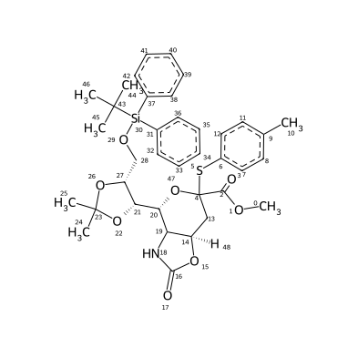 COC(=O)C1(Sc2ccc(C)cc2)C[C@H]2OC(=O)NC2[C@H]([C@@H]2OC(C)(C)O[C@@H]2CO[Si](c2ccccc2)(c2ccccc2)C(C)(C)C)O1